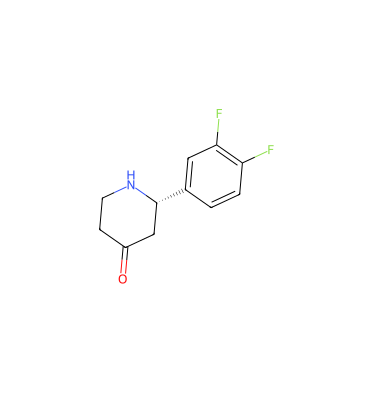 O=C1CCN[C@H](c2ccc(F)c(F)c2)C1